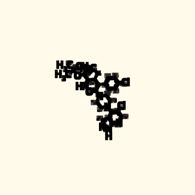 CC[C@H](C(=N)C(=O)OC(C)(C)C)[C@H](C(=O)N1CCN(c2c(Cl)cnc3[nH]ncc23)CC1)c1ccc(Cl)cc1